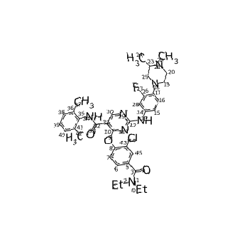 CCN(CC)C(=O)c1ccc(Oc2nc(Nc3ccc(N4CCN(C)C(C)C4)c(F)c3)ncc2C(=O)Nc2c(C)cccc2C)c(Cl)c1